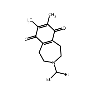 CCC(CC)N1CCC2=C(CC1)C(=O)C(C)=C(C)C2=O